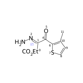 CCOC(=O)/C(=N\N)C(=O)c1sccc1C